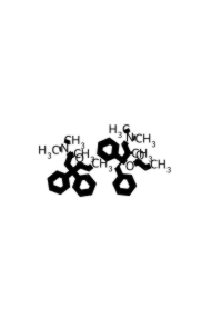 CCC(=O)C(CC(C)N(C)C)(c1ccccc1)c1ccccc1.CCC(=O)O[C@](Cc1ccccc1)(c1ccccc1)[C@H](C)CN(C)C